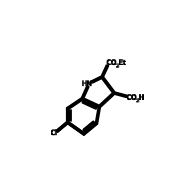 CCOC(=O)C1Nc2cc(Cl)ccc2C1C(=O)O